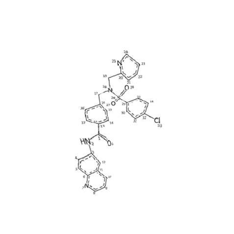 O=C(Nc1ccc2ncccc2c1)c1ccc(CN(Cc2ccccn2)S(=O)(=O)c2ccc(Cl)cc2)cc1